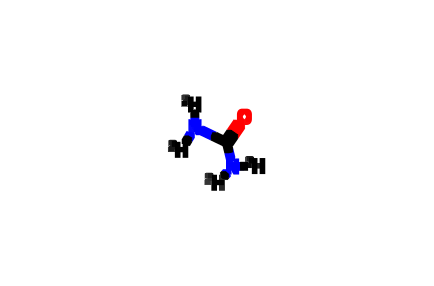 [2H]N([2H])C(=O)N([2H])[2H]